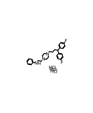 Cl.Cl.Cl.Fc1ccc(C(CCCN2CCN(CCNc3ccccc3)CC2)c2ccc(F)cc2)cc1